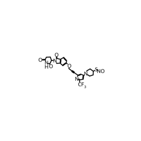 O=NSC1CCN(c2cc(C#CCOc3ccc4c(c3)CN(C3CCC(=O)NC3=O)C4=O)nc(C(F)(F)F)c2)CC1